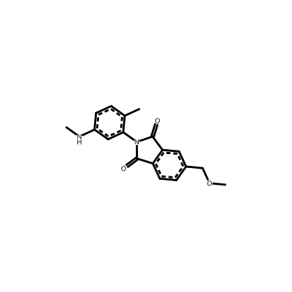 CNc1ccc(C)c(N2C(=O)c3ccc(COC)cc3C2=O)c1